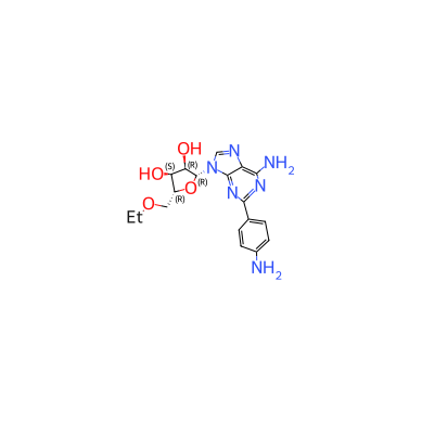 CCOC[C@H]1O[C@@H](n2cnc3c(N)nc(-c4ccc(N)cc4)nc32)[C@H](O)[C@@H]1O